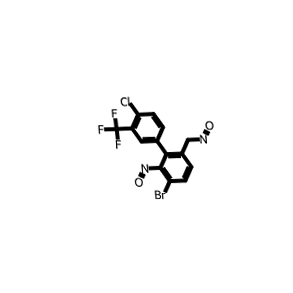 O=NCc1ccc(Br)c(N=O)c1-c1ccc(Cl)c(C(F)(F)F)c1